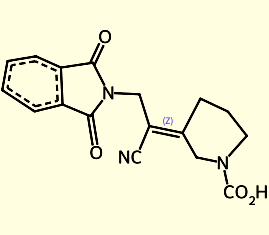 N#C/C(CN1C(=O)c2ccccc2C1=O)=C1/CCCN(C(=O)O)C1